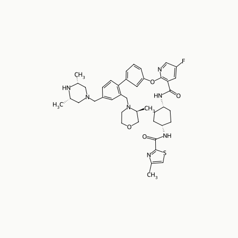 Cc1csc(C(=O)N[C@H]2CC[C@@H](NC(=O)c3cc(F)cnc3Oc3cccc(-c4ccc(CN5C[C@@H](C)N[C@@H](C)C5)cc4CN4CCOC[C@@H]4C)c3)CC2)n1